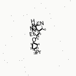 C/C=C(\C=C(/CC)COc1ccc(C(C)C)cc1)c1nn[nH]c1C#N